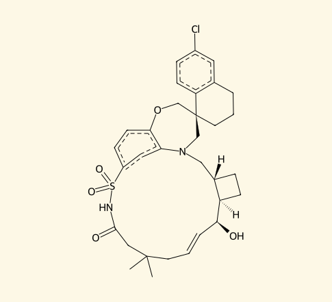 CC1(C)C/C=C/[C@H](O)[C@@H]2CC[C@H]2CN2C[C@@]3(CCCc4cc(Cl)ccc43)COc3ccc(cc32)S(=O)(=O)NC(=O)C1